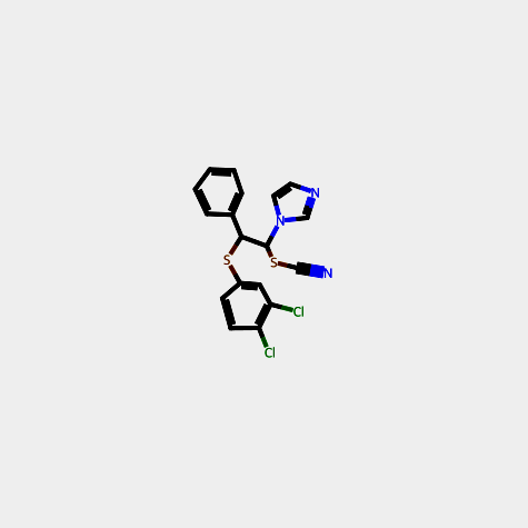 N#CSC(C(Sc1ccc(Cl)c(Cl)c1)c1ccccc1)n1ccnc1